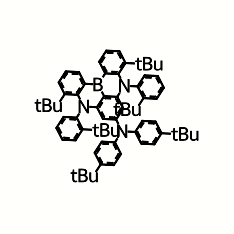 CC(C)(C)c1ccc(N(c2ccc(C(C)(C)C)cc2)c2cc3c4c(c2)N(c2ccccc2C(C)(C)C)c2c(cccc2C(C)(C)C)B4c2cccc(C(C)(C)C)c2N3c2ccccc2C(C)(C)C)cc1